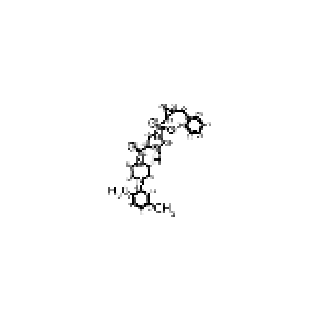 Cc1ccc(C)c(N2CCN(C(=O)C3CN(S(=O)(=O)C4CC4Cc4ccccc4)CN3)CC2)c1